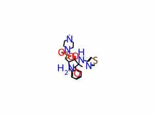 CN1CCN(S(=O)(=O)CC(Cc2ccccc2)C(=O)C(C)(Nc2cscn2)C(N)=O)CC1